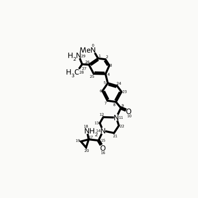 CNc1ccc(-c2ccc(C(=O)N3CCN(C(=O)C4(N)CC4)CC3)cc2)cc1C(C)N